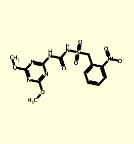 COc1nc(NC(=O)NS(=O)(=O)Cc2ccccc2[N+](=O)[O-])nc(OC)n1